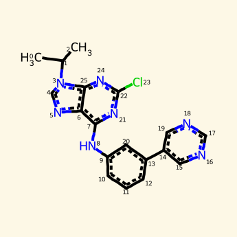 CC(C)n1cnc2c(Nc3cccc(-c4cncnc4)c3)nc(Cl)nc21